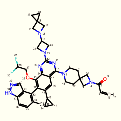 C=CC(=O)N1CC2(CCN(c3nc(N4CC(N5CC6(CC6)C5)C4)nc4c(OCC(F)F)c(-c5c(C)ccc6[nH]ncc56)c(C5CC5)cc34)CC2)C1